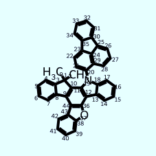 CC1(C)c2ccccc2-c2c1c1c(c3ccccc3n1-c1ccc3c4c(cccc14)-c1ccccc1-3)c1oc3ccccc3c21